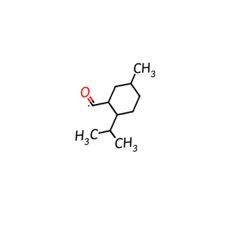 CC1CCC(C(C)C)C([C]=O)C1